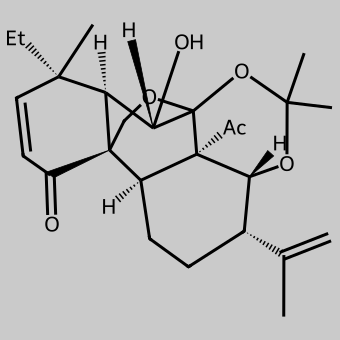 C=C(C)[C@@H]1CC[C@H]2[C@@]34COC5(OC(C)(C)O[C@H]1[C@@]25C(C)=O)[C@@H](O)[C@@H]3[C@@](C)(CC)C=CC4=O